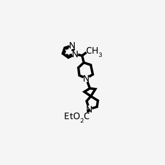 CCOC(=O)N1CCC2(CC(N3CCC(C(C)n4cccn4)CC3)C2)C1